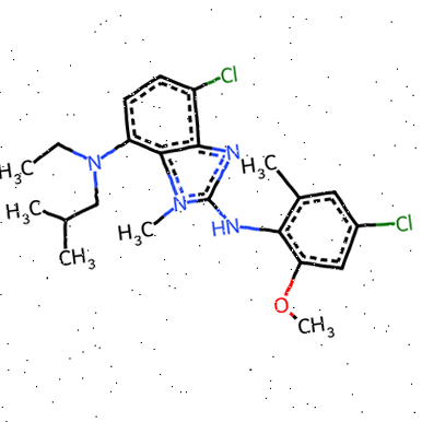 CCN(CC(C)C)c1ccc(Cl)c2nc(Nc3c(C)cc(Cl)cc3OC)n(C)c12